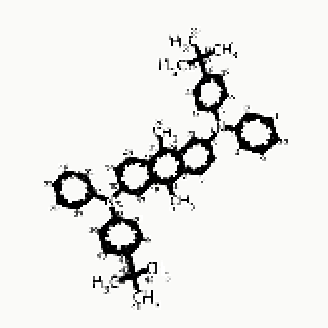 Cc1c2ccc(N(c3ccccc3)c3ccc(C(C)(C)C)cc3)cc2c(C)c2ccc(N(c3ccccc3)c3ccc(C(C)(C)C)cc3)cc12